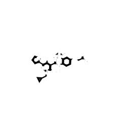 NC(=O)COc1ccc2c(c1)P(=O)(O)N=C(c1c(O)c(-c3cccs3)nn(CC3CC3)c1=O)N2